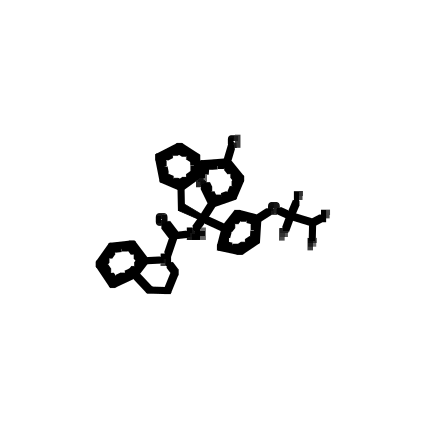 O=C(N[C@@](Cc1ccccc1)(c1cccc(OC(F)(F)C(F)F)c1)c1ccc(Cl)cn1)N1CCCc2ccccc21